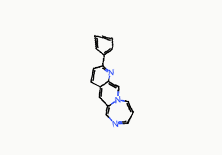 C1=CN2C=c3nc(-c4ccccc4)ccc3=CC2=CN=C1